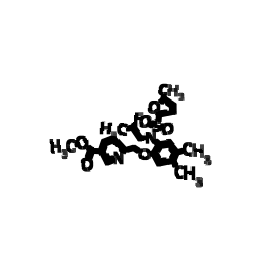 COC(=O)c1ccc(COc2cc(C)c(C)cc2N(CC(C)F)S(=O)(=O)c2ccc(C)o2)nc1